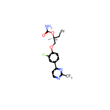 CC(C)C[C@@](C)(COc1ccc(-c2ccnc(C(F)(F)F)n2)cc1F)OC(N)=O